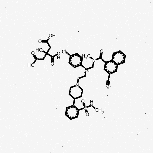 CNS(=O)(=O)c1ccccc1C1CCN(CC[C@H](CN(C)C(=O)c2cc(C#N)cc3ccccc23)c2ccc(Cl)cc2)CC1.O=C(O)CC(O)(CC(=O)O)C(=O)O